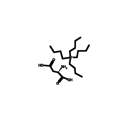 CCCC[N+](CCCC)(CCCC)CCCC.N[C@@H](CC(=O)O)C(=O)O